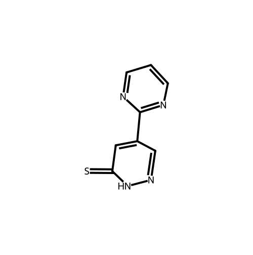 S=c1cc(-c2ncccn2)cn[nH]1